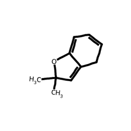 CC1(C)C=C2CC=CC=C2O1